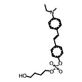 CCN(C)c1ccc(C=Cc2ccc(OS(=O)(=O)OCCCCO)cc2)cc1